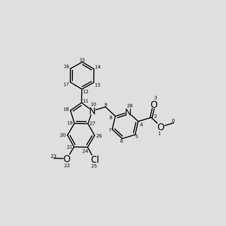 COC(=O)c1cccc(Cn2c(-c3ccccc3)cc3cc(OC)c(Cl)cc32)n1